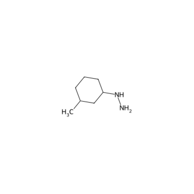 CC1CCCC(NN)C1